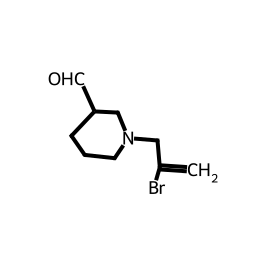 C=C(Br)CN1CCCC(C=O)C1